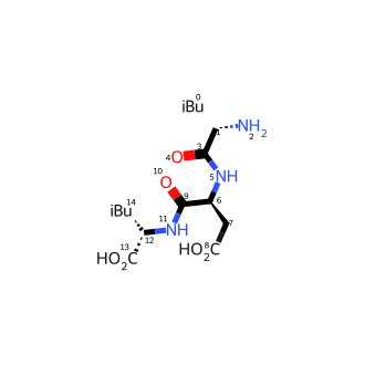 CC[C@H](C)[C@H](N)C(=O)N[C@@H](CC(=O)O)C(=O)N[C@H](C(=O)O)[C@@H](C)CC